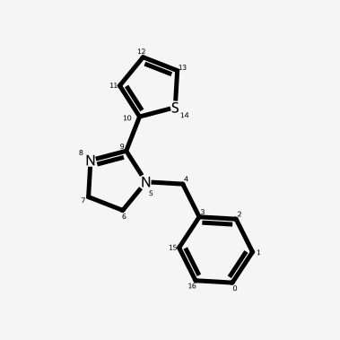 c1ccc(CN2CCN=C2c2cccs2)cc1